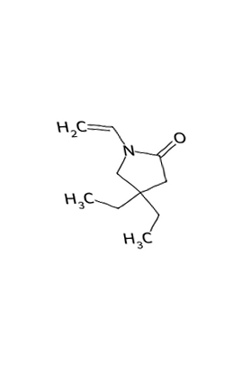 C=CN1CC(CC)(CC)CC1=O